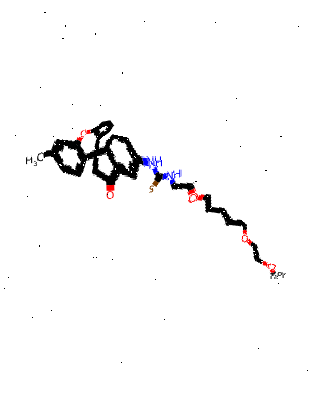 CCCOCCOCCCCCOCCNC(=S)Nc1ccc2c(c1)C(=O)CC21c2ccccc2Oc2cc(C)ccc21